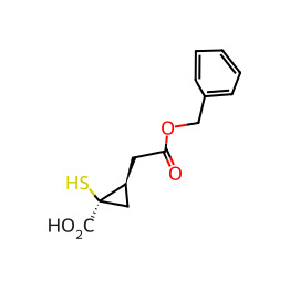 O=C(C[C@H]1C[C@]1(S)C(=O)O)OCc1ccccc1